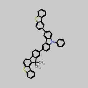 CC1(C)c2cc(-c3ccc4c(c3)c3cc(-c5ccc6sc7ccccc7c6c5)ccc3n4-c3ccccc3)ccc2-c2ccc3sc4ccccc4c3c21